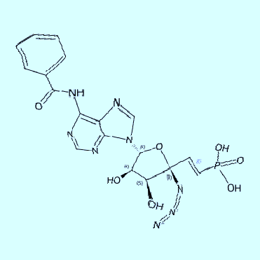 [N-]=[N+]=N[C@]1(/C=C/P(=O)(O)O)O[C@@H](n2cnc3c(NC(=O)c4ccccc4)ncnc32)[C@H](O)[C@@H]1O